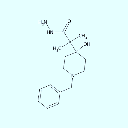 CC(C)(C(=O)NN)C1(O)CCN(Cc2ccccc2)CC1